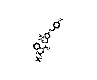 COc1ccc(CSC2CC(COC(=O)N(CC(=O)OC(C)(C)C)c3ccccc3)N(S(C)(=O)=O)C2)cc1